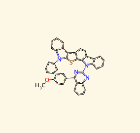 COc1ccc(-c2nc(-n3c4ccccc4c4ccc5c(sc6c5c5ccccc5n6-c5ccccc5)c43)nc3ccccc23)cc1